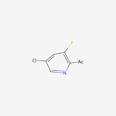 CC(=O)c1ncc(Cl)cc1F